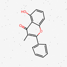 Cc1c(-c2ccccc2)oc2cccc(O)c2c1=O